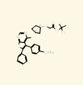 CCC(C)(C)OC(=O)CO[C@@H]1CC[C@@H](Oc2ncnc3oc(-c4ccccc4)c(-c4ccc(OC)cc4)c23)C1